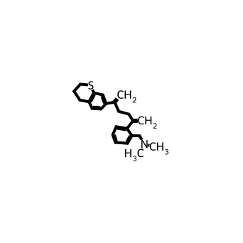 C=C(CCC(=C)c1ccccc1CN(C)C)c1ccc2c(c1)SCCC2